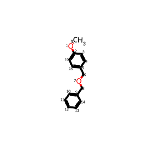 COc1ccc(CO[CH]c2ccccc2)cc1